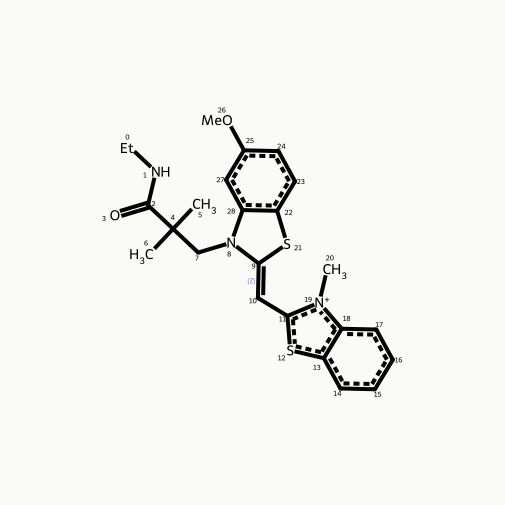 CCNC(=O)C(C)(C)CN1/C(=C/c2sc3ccccc3[n+]2C)Sc2ccc(OC)cc21